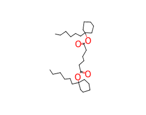 CCCCCCC1(OC(=O)CCCCC(=O)OC2(CCCCCC)CCCCC2)CCCCC1